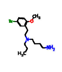 CCCN(CCCCN)CCc1cc(Br)ccc1OC